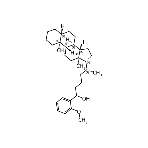 COc1ccccc1C(O)CCC[C@@H](C)[C@H]1CC[C@H]2[C@@H]3CC[C@H]4CCCC[C@]4(C)[C@H]3CC[C@]12C